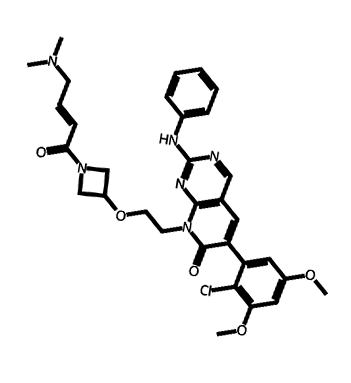 COc1cc(OC)c(Cl)c(-c2cc3cnc(Nc4ccccc4)nc3n(CCOC3CN(C(=O)C=CCN(C)C)C3)c2=O)c1